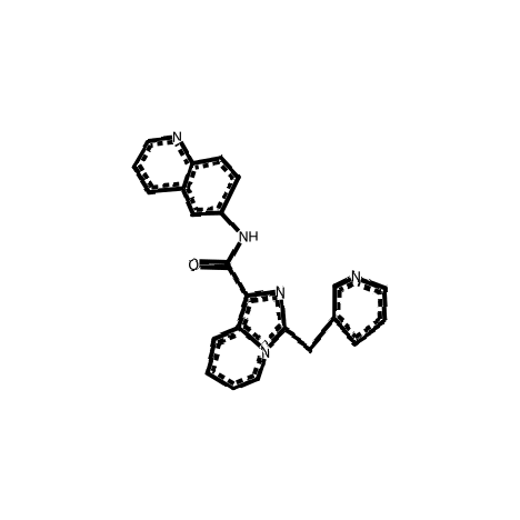 O=C(Nc1ccc2ncccc2c1)c1nc(Cc2cccnc2)n2ccccc12